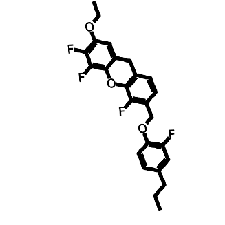 CCCc1ccc(OCc2ccc3c(c2F)Oc2c(cc(OCC)c(F)c2F)C3)c(F)c1